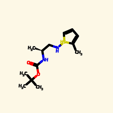 CC1=CC=C[SH]1NC[C@@H](C)NC(=O)OC(C)(C)C